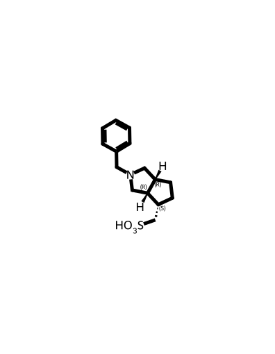 O=S(=O)(O)C[C@H]1CC[C@H]2CN(Cc3ccccc3)C[C@@H]12